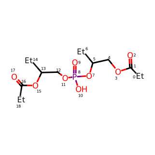 CCC(=O)OCC(CC)OP(=O)(O)OCC(CC)OC(=O)CC